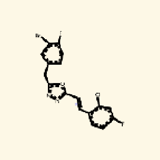 Fc1ccc(/C=C/c2nnc(Cc3ccc(F)c(Br)c3)o2)c(Cl)c1